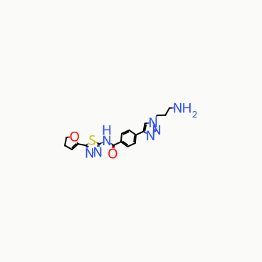 NCCCn1cc(-c2ccc(C(=O)Nc3nnc(C4=CCCO4)s3)cc2)nn1